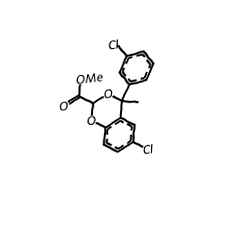 COC(=O)C1Oc2ccc(Cl)cc2C(C)(c2cccc(Cl)c2)O1